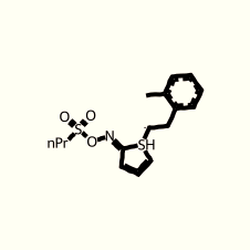 CCCS(=O)(=O)ON=C1C=C=C[SH]1[CH]Cc1ccccc1C